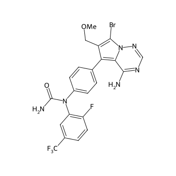 COCc1c(-c2ccc(N(C(N)=O)c3cc(C(F)(F)F)ccc3F)cc2)c2c(N)ncnn2c1Br